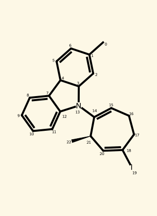 CC1=CC2C(C=C1)c1ccccc1N2C1=CCCC(I)=C[C@H]1C